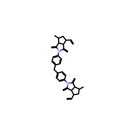 C=CC1CC(C)C2C(=C)N(c3ccc(Cc4ccc(N5C(=C)C6C(C)CC(C=C)C6C5=C)cc4)cc3)C(=C)C12